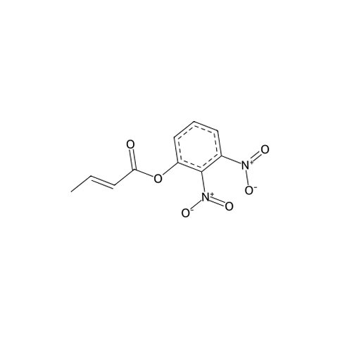 CC=CC(=O)Oc1cccc([N+](=O)[O-])c1[N+](=O)[O-]